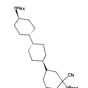 CCCCCC[C@H]1CC[C@H]([C@H]2CC[C@H](C3CCCC(C#N)(CCCCC)C3)CC2)CC1